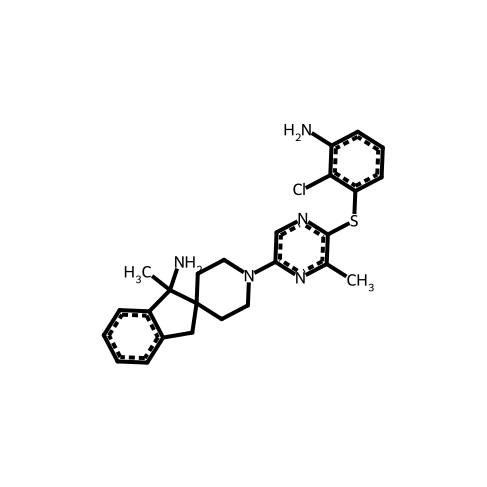 Cc1nc(N2CCC3(CC2)Cc2ccccc2C3(C)N)cnc1Sc1cccc(N)c1Cl